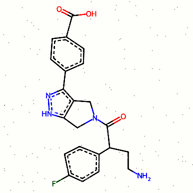 NCCC(C(=O)N1Cc2[nH]nc(-c3ccc(C(=O)O)cc3)c2C1)c1ccc(F)cc1